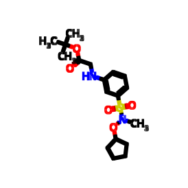 CN(OC1CCCC1)S(=O)(=O)c1cccc(NCC(=O)OC(C)(C)C)c1